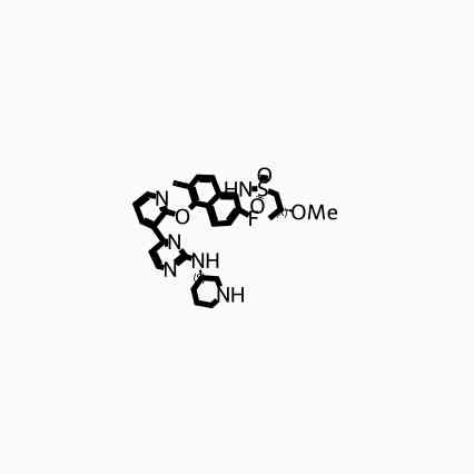 CO[C@H](C)CS(=O)(=O)Nc1c(F)ccc2c(Oc3ncccc3-c3ccnc(N[C@H]4CCCNC4)n3)c(C)ccc12